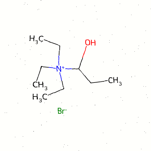 CCC(O)[N+](CC)(CC)CC.[Br-]